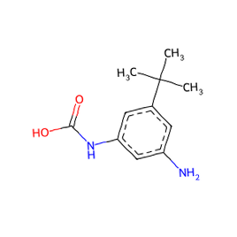 CC(C)(C)c1cc(N)cc(NC(=O)O)c1